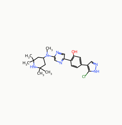 CN(c1cnc(-c2ccc(-c3cn[nH]c3Cl)cc2O)cn1)C1CC(C)(C)NC(C)(C)C1